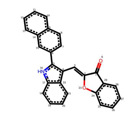 O=C1/C(=C/c2c(-c3ccc4ccccc4c3)[nH]c3ccccc23)Oc2ccccc21